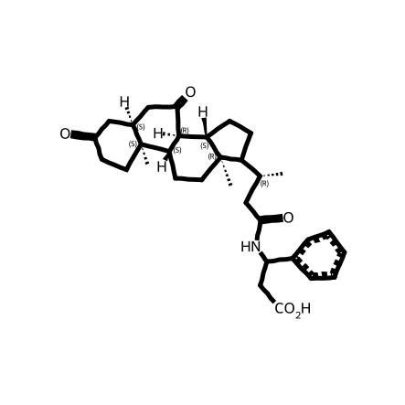 C[C@H](CC(=O)NC(CC(=O)O)c1ccccc1)C1CC[C@H]2[C@@H]3C(=O)C[C@@H]4CC(=O)CC[C@]4(C)[C@H]3CC[C@]12C